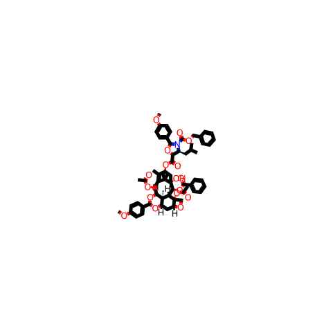 COc1ccc(C2O[C@H]3C[C@H]4OC[C@@]4(OC(C)=O)[C@H]4[C@H](OC(=O)c5ccccc5)[C@]5(O)C[C@H](OC(=O)C6OC(c7ccc(OC)cc7)N(C(=O)OCc7ccccc7)[C@H]6CC(C)C)C(C)=C([C@H](OC(C)=O)[C@H](O2)[C@]34C)C5(C)C)cc1